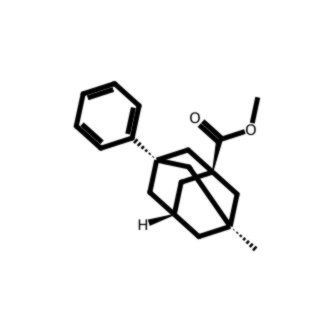 COC(=O)[C@]12C[C@@H]3C[C@](C)(C1)C[C@@](c1ccccc1)(C3)C2